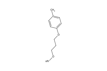 CCCOCCCOc1ccc(C)cc1